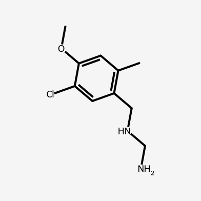 COc1cc(C)c(CNCN)cc1Cl